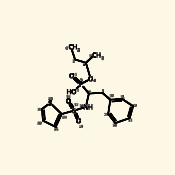 CCC(C)OP(=O)(O)C(Cc1ccccc1)NS(=O)(=O)c1cccs1